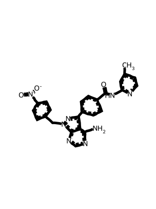 Cc1ccnc(NC(=O)c2ccc(-c3nn(Cc4ccc([N+](=O)[O-])cc4)c4ncnc(N)c34)cc2)c1